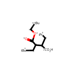 CC(C)CC(C(=O)O)C(CC(C)(C)C)C(=O)OCC(C)(C)C